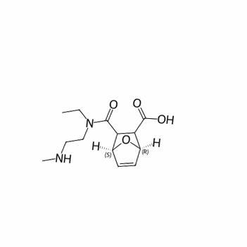 CCN(CCNC)C(=O)C1C(C(=O)O)[C@H]2C=C[C@@H]1O2